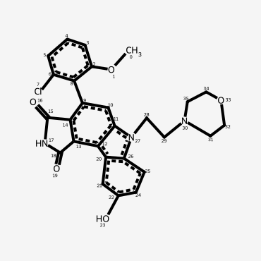 COc1cccc(Cl)c1-c1cc2c(c3c1C(=O)NC3=O)c1cc(O)ccc1n2CCN1CCOCC1